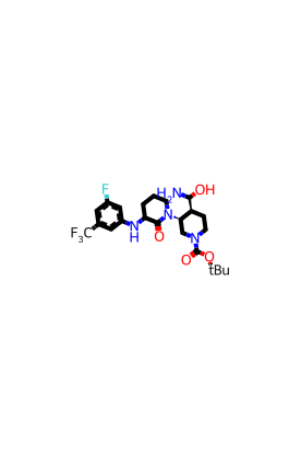 CC(C)(C)OC(=O)N1CC[C@H](C(N)O)[C@@H](N2CCCC(Nc3cc(F)cc(C(F)(F)F)c3)C2=O)C1